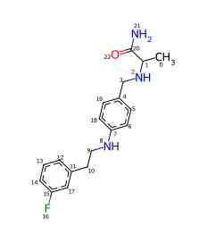 CC(NCc1ccc(NCCc2cccc(F)c2)cc1)C(N)=O